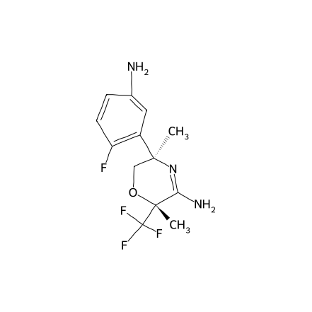 C[C@@]1(c2cc(N)ccc2F)CO[C@@](C)(C(F)(F)F)C(N)=N1